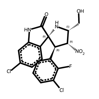 O=C1Nc2cc(Cl)ccc2[C@@]12N[C@H](CO)[C@H]([N+](=O)[O-])[C@H]2c1cccc(Cl)c1F